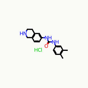 Cc1ccc(NC(=O)Nc2ccc3c(c2)CCNC3)cc1C.Cl